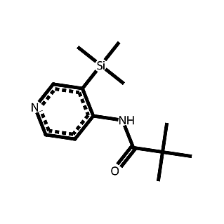 CC(C)(C)C(=O)Nc1ccncc1[Si](C)(C)C